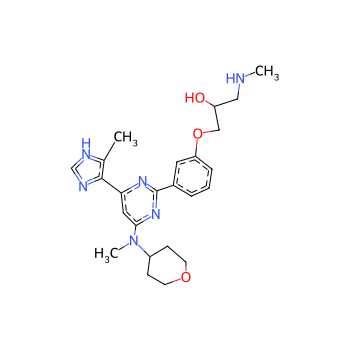 CNCC(O)COc1cccc(-c2nc(-c3nc[nH]c3C)cc(N(C)C3CCOCC3)n2)c1